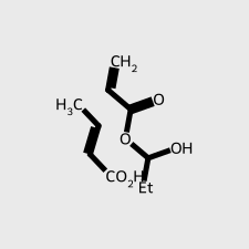 C/C=C/C(=O)O.C=CC(=O)OC(O)CC